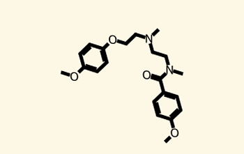 COc1ccc(OCCN(C)CCN(C)C(=O)c2ccc(OC)cc2)cc1